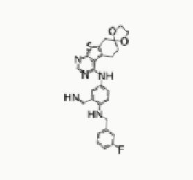 N=Cc1cc(Nc2ncnc3sc4c(c23)CCC2(C4)OCCO2)ccc1NCc1cccc(F)c1